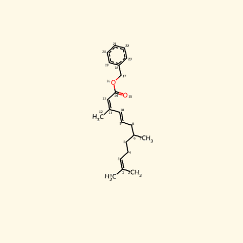 CC(C)=CCCC(C)CC=CC(C)=CC(=O)OCc1ccccc1